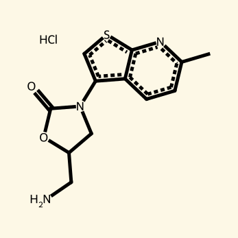 Cc1ccc2c(N3CC(CN)OC3=O)csc2n1.Cl